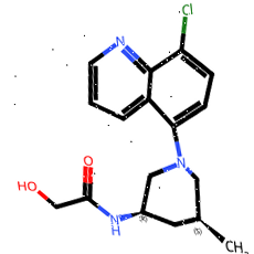 C[C@H]1C[C@@H](NC(=O)CO)CN(c2ccc(Cl)c3ncccc23)C1